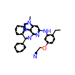 CCc1ccc(OCC#N)cc1Nc1cc2c(ncn2C)c(N=C(c2ccccc2)c2ccccc2)n1